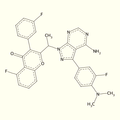 CC(c1oc2cccc(F)c2c(=O)c1-c1cccc(F)c1)n1nc(-c2ccc(N(C)C)c(F)c2)c2c(N)ncnc21